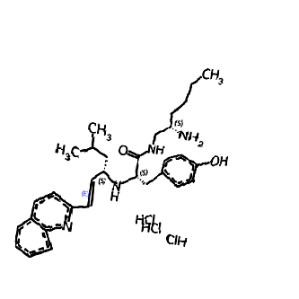 CCCC[C@H](N)CNC(=O)[C@H](Cc1ccc(O)cc1)N[C@H](/C=C/c1ccc2ccccc2n1)CC(C)C.Cl.Cl.Cl